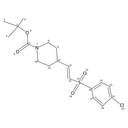 CC(C)(C)OC(=O)N1CCC(/C=C/S(=O)(=O)c2ccc(Cl)cc2)CC1